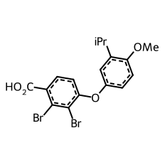 COc1ccc(Oc2ccc(C(=O)O)c(Br)c2Br)cc1C(C)C